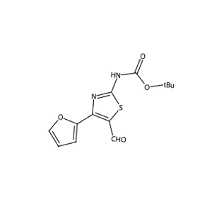 CC(C)(C)OC(=O)Nc1nc(-c2ccco2)c(C=O)s1